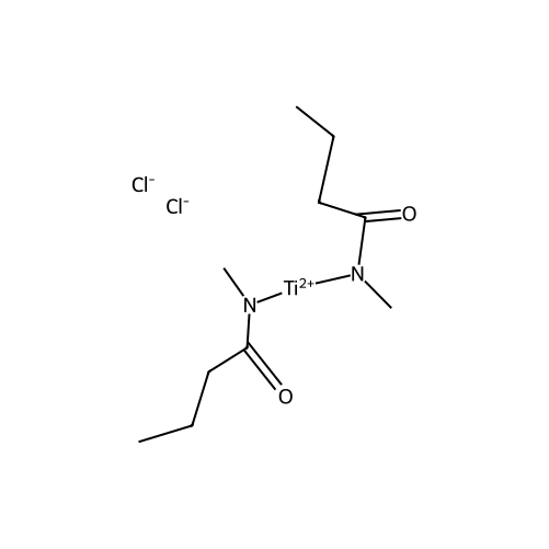 CCCC(=O)[N](C)[Ti+2][N](C)C(=O)CCC.[Cl-].[Cl-]